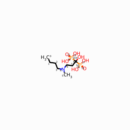 CCCCN(C)CCC(O)(P(=O)(O)O)P(=O)(O)O